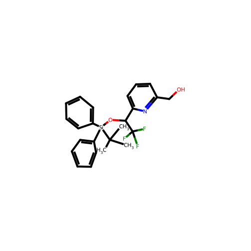 CC(C)(C)[Si](OC(c1cccc(CO)n1)C(F)(F)F)(c1ccccc1)c1ccccc1